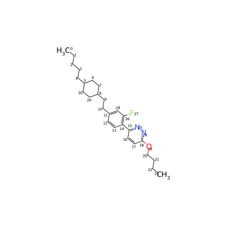 CCCCCC1CCC(CCc2ccc(-c3ccc(OCCCC)nn3)c(F)c2)CC1